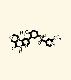 CC1CCC(NC(=O)c2ccnc(C(F)(F)F)c2)CC1c1cnc2c(c1)N1CCOCC1C(=O)N2